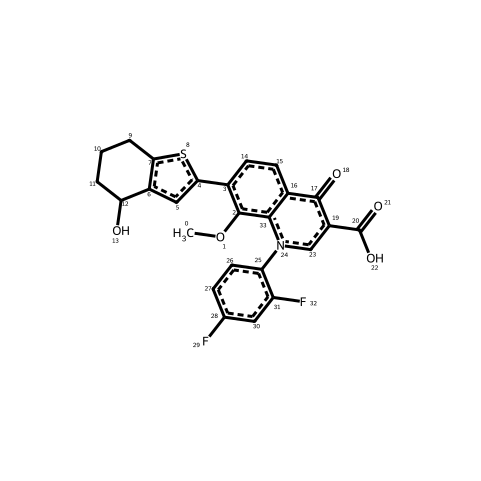 COc1c(-c2cc3c(s2)CCCC3O)ccc2c(=O)c(C(=O)O)cn(-c3ccc(F)cc3F)c12